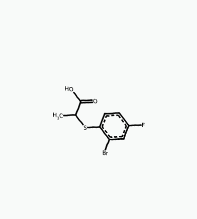 CC(Sc1ccc(F)cc1Br)C(=O)O